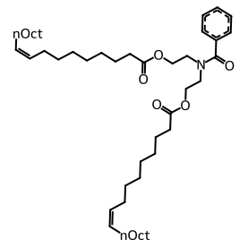 CCCCCCCC/C=C\CCCCCCCC(=O)OCCN(CCOC(=O)CCCCCCC/C=C\CCCCCCCC)C(=O)c1ccccc1